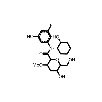 COC1CC(O)C(CO)OC1C(=O)N(c1cc(F)cc(C#N)c1)[C@H]1CCCC[C@@H]1O